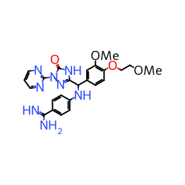 COCCOc1ccc(C(Nc2ccc(C(=N)N)cc2)c2nn(-c3ncccn3)c(=O)[nH]2)cc1OC